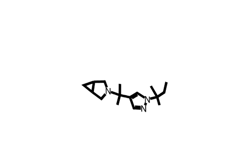 CCC(C)(C)n1cc(C(C)(C)N2CC3CC3C2)cn1